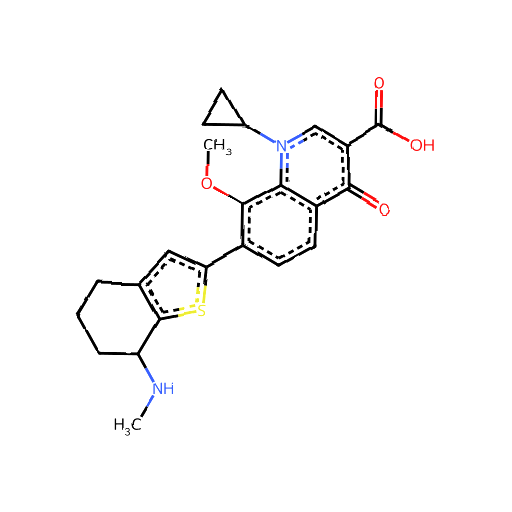 CNC1CCCc2cc(-c3ccc4c(=O)c(C(=O)O)cn(C5CC5)c4c3OC)sc21